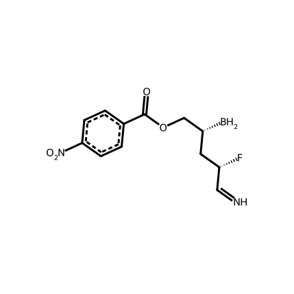 B[C@@H](COC(=O)c1ccc([N+](=O)[O-])cc1)C[C@H](F)C=N